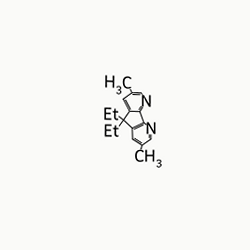 CCC1(CC)c2cc(C)cnc2-c2ncc(C)cc21